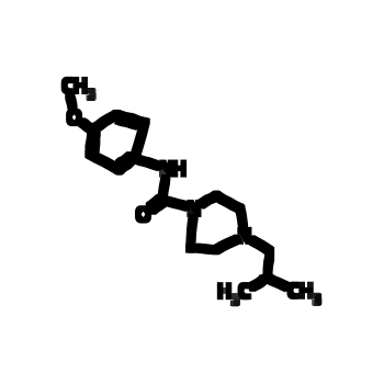 COc1ccc(NC(=O)N2CCN(C[C](C)C)CC2)cc1